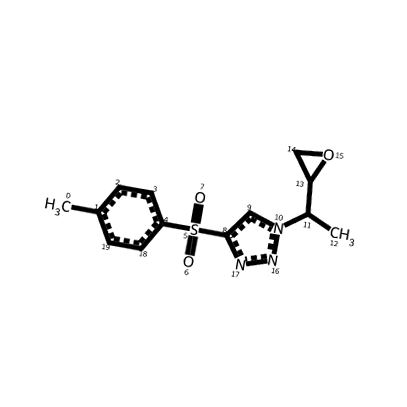 Cc1ccc(S(=O)(=O)c2cn(C(C)C3CO3)nn2)cc1